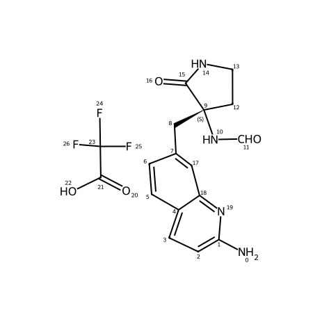 Nc1ccc2ccc(C[C@]3(NC=O)CCNC3=O)cc2n1.O=C(O)C(F)(F)F